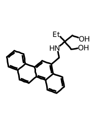 CCC(CO)(CO)NCc1cc2c3ccccc3ccc2c2ccccc12